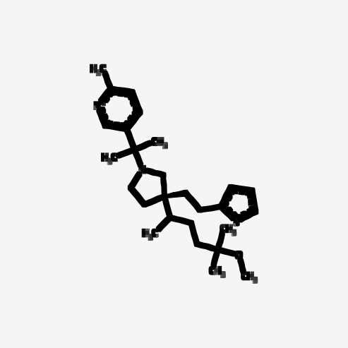 COC(C)(C)CCC(C)[C@]1(CCc2cccs2)CCN(C(C)(C)c2ccc(C)nc2)C1